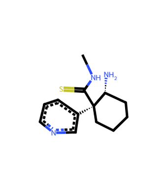 CNC(=S)[C@]1(c2cccnc2)CCCC[C@H]1N